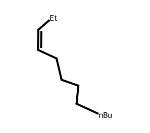 [CH2]CCCCCCC/C=C\CC